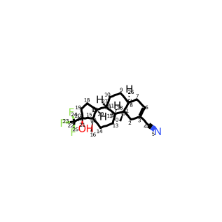 C[C@]12CC(C#N)=CC[C@@H]1CC[C@@H]1[C@@H]2CC[C@@]2(C)[C@H]1CC[C@@]2(O)C(F)(F)F